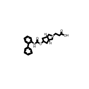 O=C(O)CCN1C[C@H]2CC(OC(=O)Nc3ccccc3-c3ccccc3)C[C@H]2C1